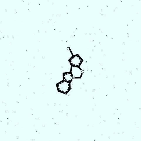 Clc1ccc2c(c1)-c1cc3ccccc3n1CO2